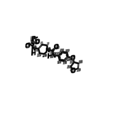 CC(C)S(=O)(=O)NC1CCN(C(=O)Nc2ccc(OC3CCOC3)cc2)CC1